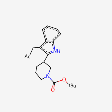 CC(=O)Cc1c(C2CCCN(C(=O)OC(C)(C)C)C2)[nH]c2ccccc12